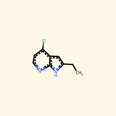 CCc1cc2c(Cl)ccnc2[nH]1